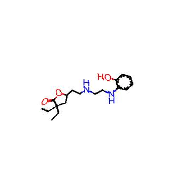 CCC1(CC)CC(CCNCCNc2ccccc2O)OC1=O